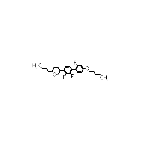 CCCCCOc1ccc(-c2ccc(C3CCC(CCCC)OC3)c(F)c2F)c(F)c1